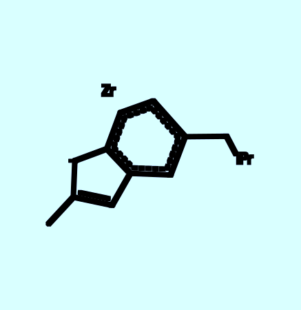 CC1=Cc2cc(CC(C)C)ccc2[CH]1.[Zr]